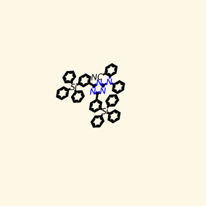 N#Cc1ccccc1N(c1ccccc1)c1nc(-c2cccc([Si](c3ccccc3)(c3ccccc3)c3ccccc3)c2)nc(-c2cccc([Si](c3ccccc3)(c3ccccc3)c3ccccc3)c2)n1